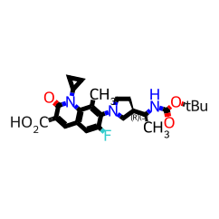 Cc1c(N2CC[C@@H]([C@H](C)NC(=O)OC(C)(C)C)C2)c(F)cc2cc(C(=O)O)c(=O)n(C3CC3)c12